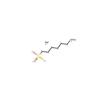 CCCCCCCCCCCCS(=O)([O-])=S.[Na+]